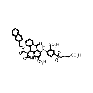 O=C(O)CCCS(=O)(=O)c1ccc(Nc2cc(S(=O)(=O)O)c3[nH]c(=O)c(C(=O)OCc4ccc5ccccc5c4)c4c3c2C(=O)c2ccccc2-4)c(S(=O)(=O)O)c1